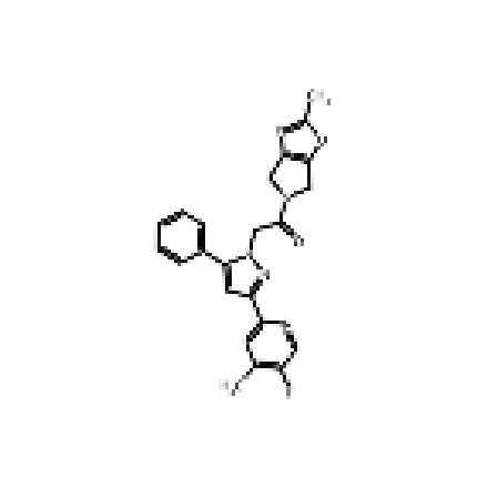 Cc1nc2c(o1)CN(C(=O)Cn1nc(-c3cc(C)c(F)cn3)cc1-c1ccccc1)C2